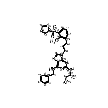 CC[C@H](CO)Nc1nc(NCc2ccccc2)c2ncn(CCCc3cccc(S(=O)(=O)n4cncn4)c3C)c2n1